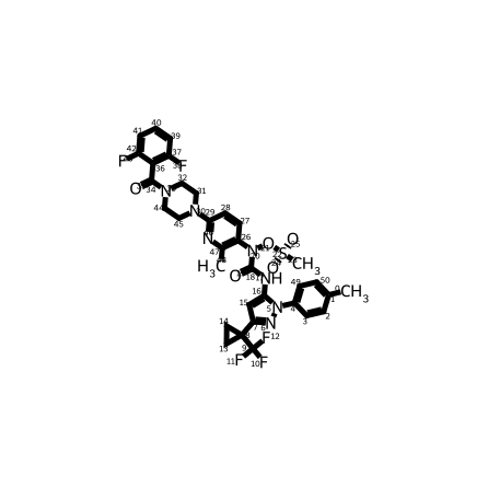 Cc1ccc(-n2nc(C3(C(F)(F)F)CC3)cc2NC(=O)N(OS(C)(=O)=O)c2ccc(N3CCN(C(=O)c4c(F)cccc4F)CC3)nc2C)cc1